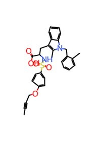 CC#CCOc1ccc(S(=O)(=O)NC(Cc2c(C)n(Cc3ccccc3C)c3ccccc23)C(=O)O)cc1